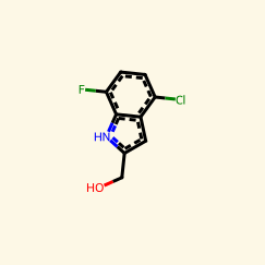 OCc1cc2c(Cl)ccc(F)c2[nH]1